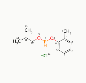 Cc1ccccc1OPOCC(C)C.Cl